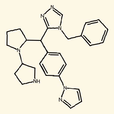 c1ccc(Cn2cnnc2C(c2ccc(-n3cccn3)cc2)C2CCCN2C2CCNC2)cc1